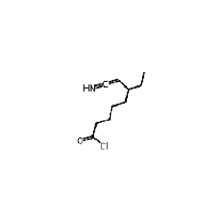 CCC(C=C=N)CCCCC(=O)Cl